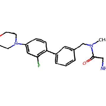 CN(Cc1cccc(-c2ccc(N3CCOCC3)cc2F)c1)C(=O)CN